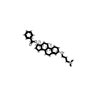 CN(C)CCCO[C@@H]1C=C2CCC3C(CC[C@@]4(C)C3CC[C@@H]4OC(=O)c3ccccc3)[C@@]2(C)CC1